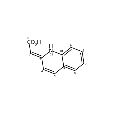 O=C(O)C=C1C=Cc2ccccc2N1